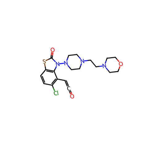 O=C=Cc1c(Cl)ccc2sc(=O)n(N3CCN(CCN4CCOCC4)CC3)c12